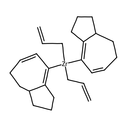 C=C[CH2][Zr]([CH2]C=C)([C]1=C2CCCC2CCC=C1)[C]1=C2CCCC2CCC=C1